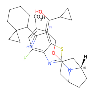 N=C(/C(COC1CC2CC[C@@H](C1)N2c1nc2c(F)cc(C(=O)O)cc2s1)=C(\O)C1CC1)C1CCCCC12CC2